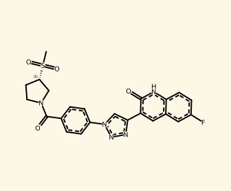 CS(=O)(=O)[C@H]1CCN(C(=O)c2ccc(-n3cc(-c4cc5cc(F)ccc5[nH]c4=O)nn3)cc2)C1